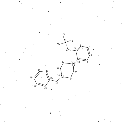 CC(C)(C)Cc1ccccc1N1CCN(Cc2ccccc2)CC1